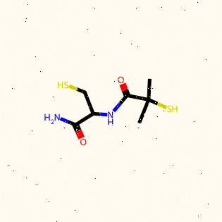 CC(C)(S)C(=O)NC(CS)C(N)=O